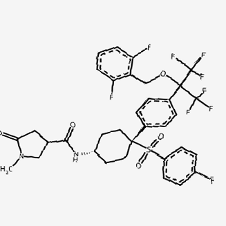 CN1CC(C(=O)N[C@H]2CC[C@@](c3ccc(C(OCc4c(F)cccc4F)(C(F)(F)F)C(F)(F)F)cc3)(S(=O)(=O)c3ccc(F)cc3)CC2)CC1=O